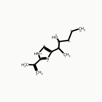 C=C(C)c1nc(C(C)C(O)CCC)c[nH]1